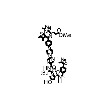 COC(=O)CC[C@@H]1N=C(c2ccc(N3CCN(c4cnc(C(=O)N[C@H](C(=O)N5C[C@H](O)C[C@H]5C(=O)N[C@@H](C)c5ccc(-c6scnc6C)cc5)C(C)(C)C)cn4)CC3)cc2)c2c(sc(C)c2C)-n2c(C)nnc21